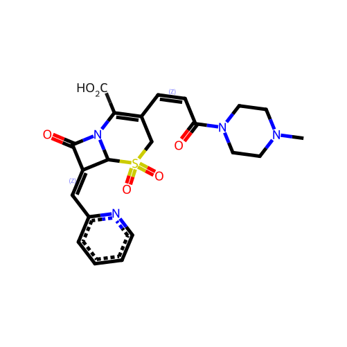 CN1CCN(C(=O)/C=C\C2=C(C(=O)O)N3C(=O)/C(=C/c4ccccn4)C3S(=O)(=O)C2)CC1